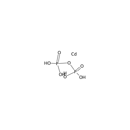 O=P(O)(O)OP(=O)(O)O.[Cd]